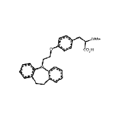 COC(Cc1ccc(OCCN2c3ccccc3CCc3ccccc32)cc1)C(=O)O